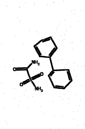 NC(=O)S(N)(=O)=O.c1ccc(-c2ccccc2)cc1